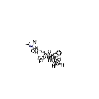 CC(C)/C=C(\C#N)C(=O)NCCCC[C@H](NCC(F)(F)F)C(=O)N[C@@H](Cc1ccccc1)B1O[C@@H]2C[C@@H]3C[C@@H](C3(C)C)[C@]2(C)O1